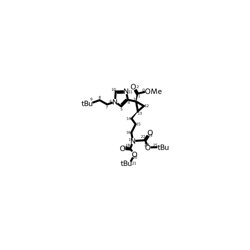 COC(=O)[C@@]1(c2cn(CCC(C)(C)C)cn2)C[C@H]1CCCN(C(=O)OC(C)(C)C)C(=O)OC(C)(C)C